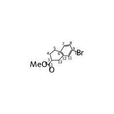 COC(=O)[C@H]1CCc2ccc(Br)cc2C1